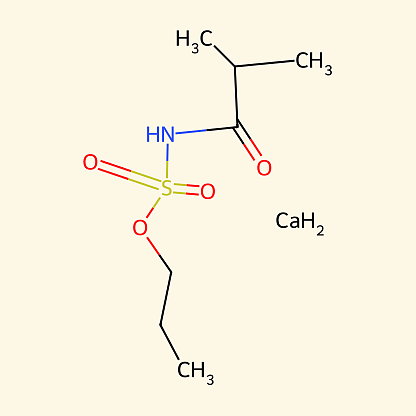 CCCOS(=O)(=O)NC(=O)C(C)C.[CaH2]